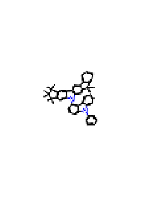 CC1(C)c2ccccc2-c2cc3c4cc5c(cc4n(-c4cccc6c4c4ccccc4n6-c4ccccc4)c3cc21)C(C)(C)C(C)(C)C5(C)C